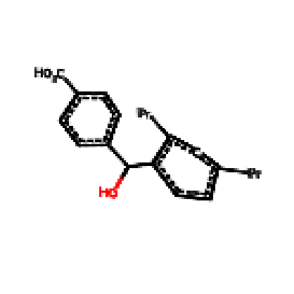 CC(C)c1ccc(C(O)c2ccc(C(=O)O)cc2)c(C(C)C)c1